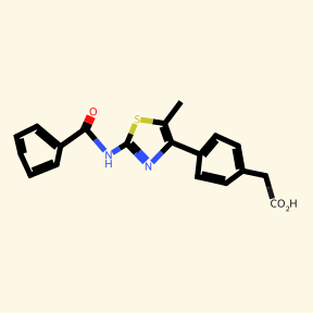 Cc1sc(NC(=O)c2ccccc2)nc1-c1ccc(CC(=O)O)cc1